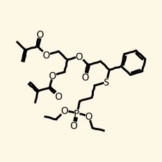 C=C(C)C(=O)OCC(COC(=O)C(=C)C)OC(=O)CC(SCCCP(=O)(OCC)OCC)c1ccccc1